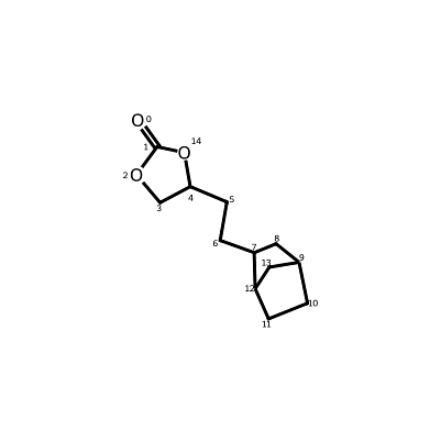 O=C1OCC(CCC2CC3CCC2C3)O1